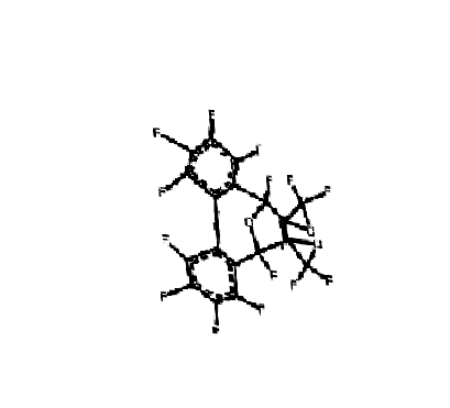 Fc1c(F)c(F)c(C(F)(OC(F)(c2c(F)c(F)c(F)c(F)c2F)C2(F)OC2(F)F)C2(F)OC2(F)F)c(F)c1F